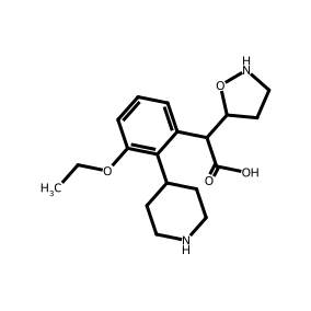 CCOc1cccc(C(C(=O)O)C2CCNO2)c1C1CCNCC1